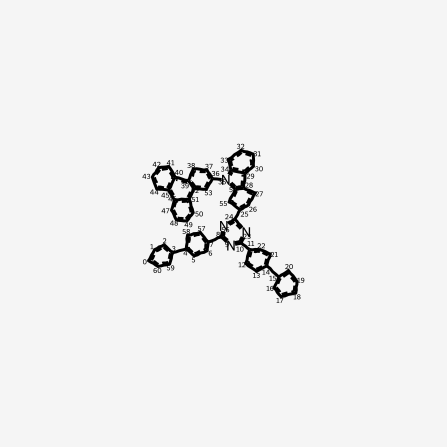 c1ccc(-c2ccc(-c3nc(-c4ccc(-c5ccccc5)cc4)nc(-c4ccc5c6ccccc6n(-c6ccc7c8ccccc8c8ccccc8c7c6)c5c4)n3)cc2)cc1